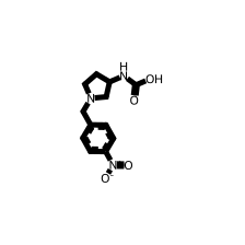 O=C(O)NC1CCN(Cc2ccc([N+](=O)[O-])cc2)C1